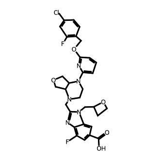 O=C(O)c1cc(F)c2nc(CN3CCN(c4cccc(OCc5ccc(Cl)cc5F)n4)C4COCC43)n(CC3CCO3)c2c1